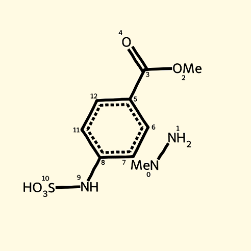 CNN.COC(=O)c1ccc(NS(=O)(=O)O)cc1